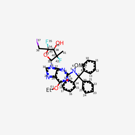 CCOc1nc(N(OC)C(c2ccccc2)(c2ccccc2)c2ccccc2)nc2c1ncn2[C@@H]1O[C@](F)(CI)[C@@H](O)C1(C)F